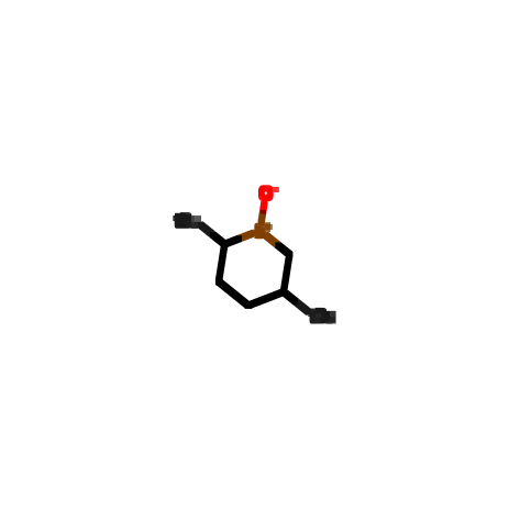 CC(C)(C)C1CCC(C(C)(C)C)[S+]([O-])C1